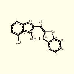 CCc1cccc2sc(C=C3Nc4ccccc4S3)[n+](CC)c12.[I-]